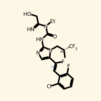 CCN(C(=N)CO)C(=O)Nc1ncc(/C(F)=C/c2c(F)cccc2Cl)n1C[C@@H](C)C(F)(F)F